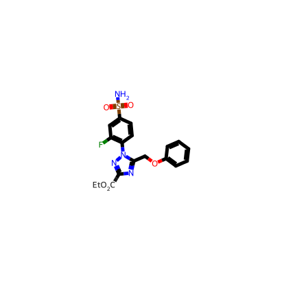 CCOC(=O)c1nc(COc2ccccc2)n(-c2ccc(S(N)(=O)=O)cc2F)n1